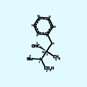 CC(C)(C)N(C(=O)O)[C@@](C)(C=O)Cc1ccccc1